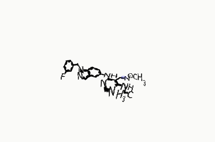 CCNc1ncnc(Nc2ccc3c(cnn3Cc3cccc(F)c3)c2)c1/C=N/OC